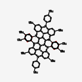 CC(C)(C)c1ccc(-n2c3cc(C(C)(C)C)cc4c3p3c5c2cc(C(C)(C)C)cc5n(-c2ccc(C(C)(C)C)cc2)c2c5c6c(c(c23)n4-c2ccc(C(C)(C)C)cc2)n(-c2ccc(C(C)(C)C)cc2)c2cc(C(C)(C)C)cc3c2p6c2c(cc(C(C)(C)C)cc2n5-c2ccc(C(C)(C)C)cc2)n3-c2ccc(C(C)(C)C)cc2)cc1